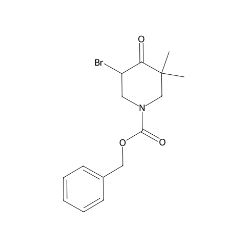 CC1(C)CN(C(=O)OCc2ccccc2)CC(Br)C1=O